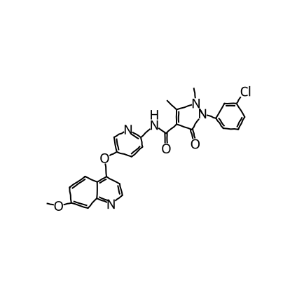 COc1ccc2c(Oc3ccc(NC(=O)c4c(C)n(C)n(-c5cccc(Cl)c5)c4=O)nc3)ccnc2c1